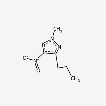 CCCc1nn(C)cc1[N+](=O)[O-]